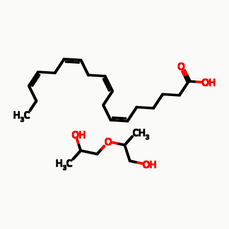 CC(O)COC(C)CO.CC/C=C\C/C=C\C/C=C\C/C=C\CCCCC(=O)O